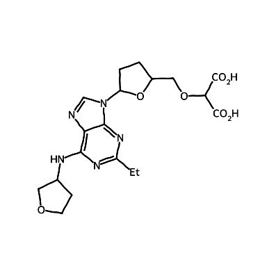 CCc1nc(NC2CCOC2)c2ncn(C3CCC(COC(C(=O)O)C(=O)O)O3)c2n1